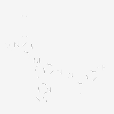 CC1(C)CCC(CN2CCN(c3ccc(C(=O)NSc4ccc(OCC5CCOCC5)c([N+](=O)[O-])c4)c(Oc4cnc5[nH]ccc5c4)c3)CC2)=C(c2ccc(C(F)(F)F)cc2)C1